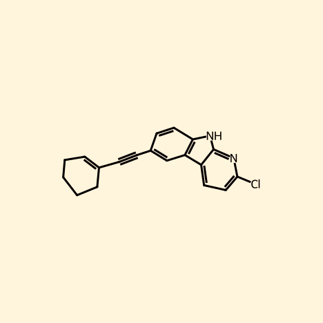 Clc1ccc2c(n1)[nH]c1ccc(C#CC3=CCCCC3)cc12